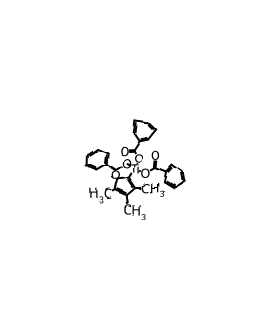 CC1=C(C)C(C)=[C]([Ti]([O]C(=O)c2ccccc2)([O]C(=O)c2ccccc2)[O]C(=O)c2ccccc2)C1